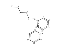 CCCCCC.c1ccccc1.c1ccccc1